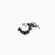 [CH2]c1cc(N)ccc1-c1ccc(N)cc1COC(=O)/C=C/c1ccc(OC(F)(F)c2ccc(OCCC(F)(F)F)cc2)cc1